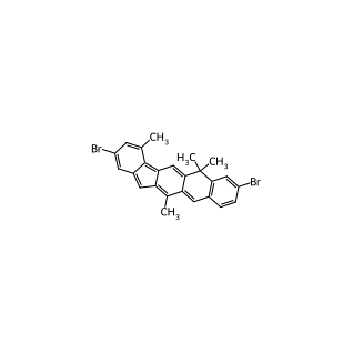 Cc1c2c(cc3c1=Cc1ccc(Br)cc1C3(C)C)=c1c(C)cc(Br)cc1=C2